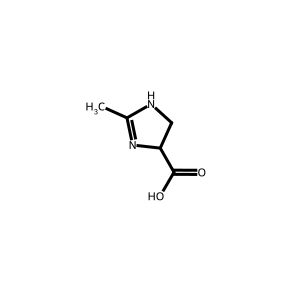 CC1=NC(C(=O)O)CN1